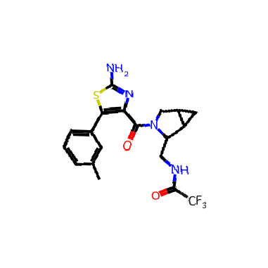 Cc1cccc(-c2sc(N)nc2C(=O)N2CC3CC3C2CNC(=O)C(F)(F)F)c1